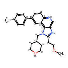 COCCc1nc2cnc3ccc(-c4ccc(C)cc4)cc3c2n1CC1CCOCC1